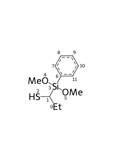 CCC(S)[Si](OC)(OC)c1ccccc1